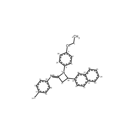 CCOc1ccc(N2/C(=N/c3ccc(I)cc3)CC2c2ccc3ccccc3c2)cc1